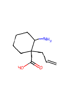 C=CCC1(C(=O)O)CCCCC1N